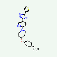 O=C(O)C[C@H]1CC[C@H](OC2CCN(c3ccc(-c4nnc(-c5ccsc5)[nH]4)cn3)CC2)CC1